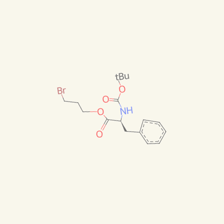 CC(C)(C)OC(=O)N[C@@H](Cc1ccccc1)C(=O)OCCCBr